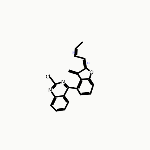 C=c1/c(=C\C=C/C)oc2cccc(-c3nc(Cl)nc4ccccc34)c12